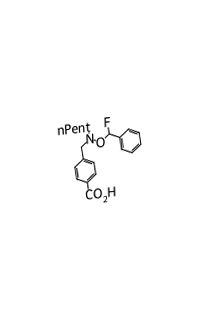 CCCCCN(Cc1ccc(C(=O)O)cc1)OC(F)c1ccccc1